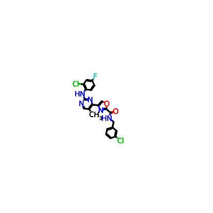 Cc1cnc(Nc2ccc(F)cc2Cl)nc1-c1coc(C(=O)NCc2cccc(Cl)c2)n1